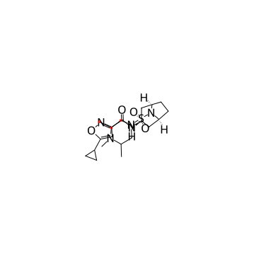 CC1CN(S(=O)(=O)N2[C@@H]3CC[C@H]2C[C@@H](NC(=O)c2cc(C4CC4)on2)C3)CC(C)N1C